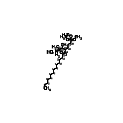 CCCCCCCCCCCCCCCC(CCC[Si](OC)(OC)OC)C(C)C(C)(C)N.Cl